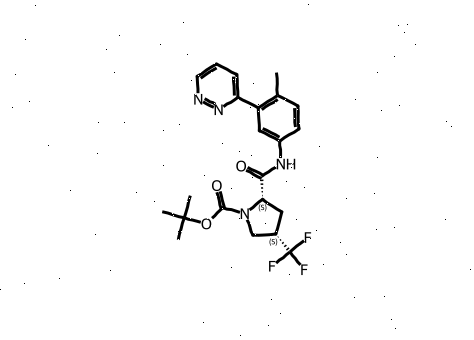 Cc1ccc(NC(=O)[C@@H]2C[C@H](C(F)(F)F)CN2C(=O)OC(C)(C)C)cc1-c1cccnn1